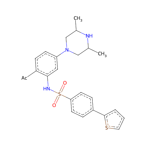 CC(=O)c1ccc(N2CC(C)NC(C)C2)cc1NS(=O)(=O)c1ccc(-c2cccs2)cc1